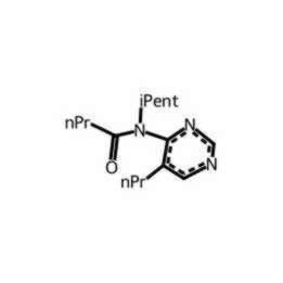 CCCC(=O)N(c1ncncc1CCC)C(C)CCC